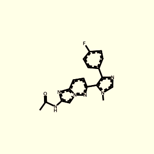 CC(=O)Nc1cn2nc(-c3c(-c4ccc(F)cc4)ncn3C)ccc2n1